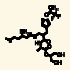 CSCCC(N)CSSCC(Cc1ccsc1)C(=O)NC(C)C(=O)OC(CO)CO.O=C(O)C(F)(F)F